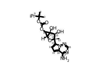 CC(C)C(C)(C)OC(=O)OC1[C@H]2O[C@@](C)(c3ccc4c(N)ncnn34)[C@H](O)[C@@]12O